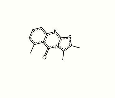 Cc1sc2nc3cccc(C)c3c(=O)n2c1C